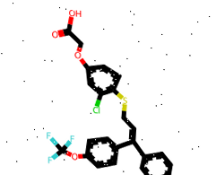 O=C(O)COc1ccc(SC/C=C(/c2ccccc2)c2ccc(OC(F)(F)F)cc2)c(Cl)c1